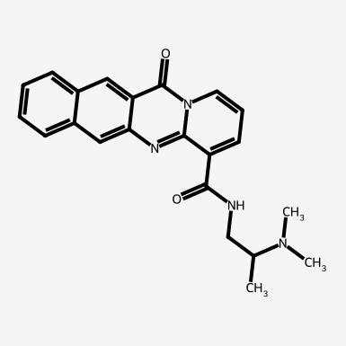 CC(CNC(=O)c1cccn2c(=O)c3cc4ccccc4cc3nc12)N(C)C